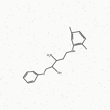 Cc1ccc(C)c(NCCC(N)C(O)COc2ccccc2)c1